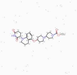 CC(C)(C)OC(=O)N1CCC(N2CCC(Oc3cccc4c3CCCN4[C@@H]3CCC(=O)NC3=O)CC2)CC1